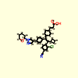 N#Cc1ccc(C(=C(c2ccc(C=CC(=O)O)cc2)c2ccc(-c3cnn(C4CCCCO4)c3)cc2)C2CCC2)c(Cl)c1